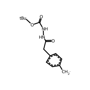 [CH2]c1ccc(CC(=O)NNC(=O)OC(C)(C)C)cc1